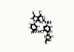 COc1cc(Nc2nc(Cl)c3c(n2)N(c2ccc(F)cc2)CC3C)ccc1-n1cnc(C)n1